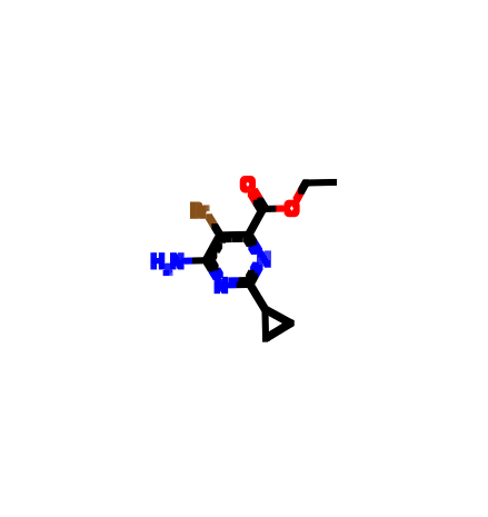 CCOC(=O)c1nc(C2CC2)nc(N)c1Br